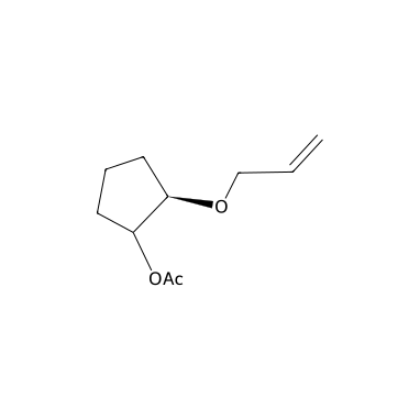 C=CCO[C@@H]1CCCC1OC(C)=O